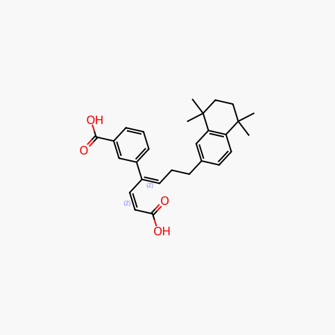 CC1(C)CCC(C)(C)c2cc(CC/C=C(/C=C\C(=O)O)c3cccc(C(=O)O)c3)ccc21